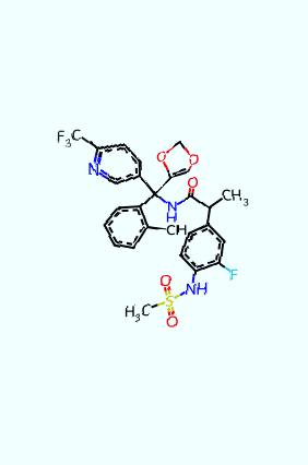 Cc1ccccc1C(NC(=O)C(C)c1ccc(NS(C)(=O)=O)c(F)c1)(C1=COCO1)c1ccc(C(F)(F)F)nc1